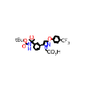 CC(C)(C)OC(=O)NC1(c2cccc(-c3cc(Oc4ccc(C(F)(F)F)cc4)nn3CC(=O)O)c2)COC1